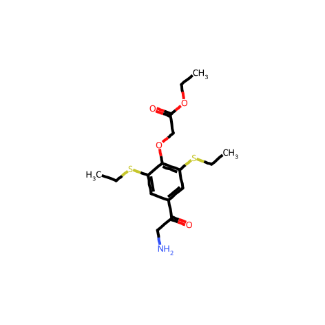 CCOC(=O)COc1c(SCC)cc(C(=O)CN)cc1SCC